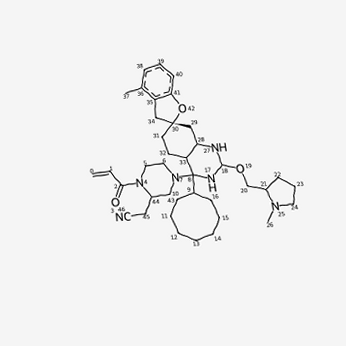 C=CC(=O)N1CCN(C2(C3CCCCCCC3)NC(OCC3CCCN3C)NC3C[C@@]4(CCC32)Cc2c(C)cccc2O4)CC1CC#N